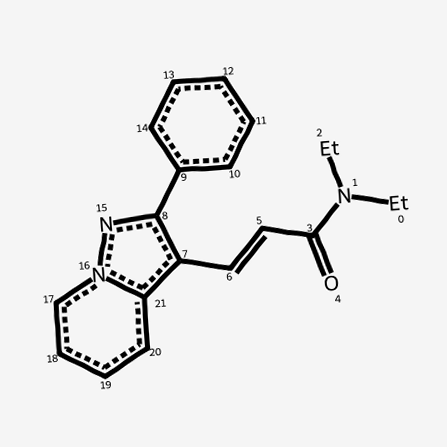 CCN(CC)C(=O)C=Cc1c(-c2ccccc2)nn2ccccc12